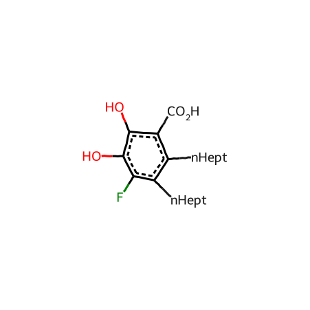 CCCCCCCc1c(F)c(O)c(O)c(C(=O)O)c1CCCCCCC